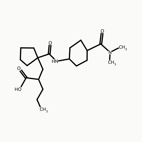 CCCC(CC1(C(=O)NC2CCC(C(=O)N(C)C)CC2)CCCC1)C(=O)O